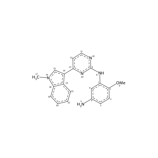 COc1ccc(N)[c]c1Nc1nccc(-c2cn(C)c3ccccc23)n1